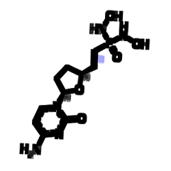 Nc1ccn([C@H]2CC[C@@H](/C=C/P(=O)(NO)NO)O2)c(=O)n1